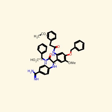 CC(=O)O.COc1cc([C@@H](Nc2ccc(C(=N)N)cc2)C(=O)N[C@H](C(=O)O)c2ccccc2)c(NC(=O)Cc2ccccc2)cc1OCc1ccccc1